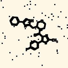 Cc1nc(C(=O)N2CCOCC2Cc2nc(-c3ccccc3)c[nH]2)c(-c2ccc(F)cc2)s1